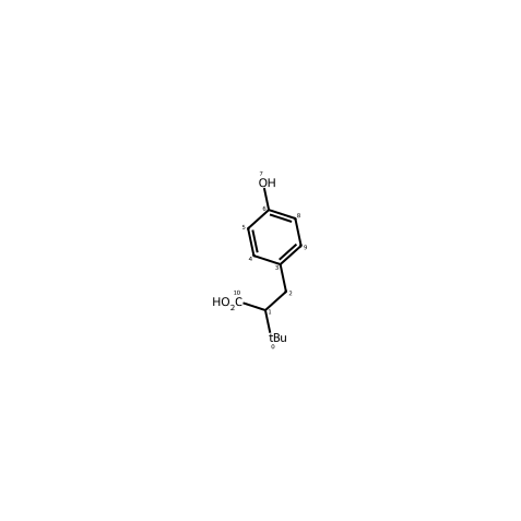 CC(C)(C)C(Cc1ccc(O)cc1)C(=O)O